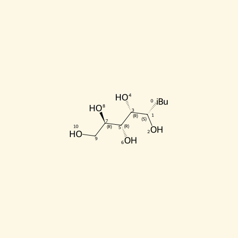 CCC(C)[C@H](O)[C@@H](O)[C@H](O)[C@H](O)CO